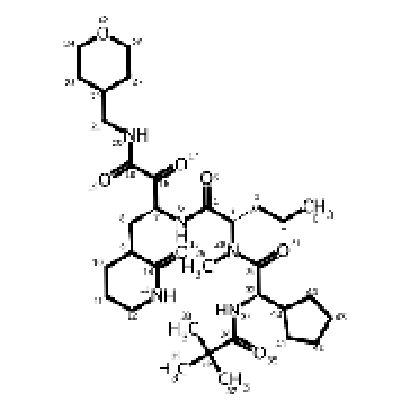 CCC[C@@H](C(=O)N[C@@H](C[C@@H]1CCCNC1=O)C(=O)C(=O)NCC1CCOCC1)N(C)C(=O)[C@H](NC(=O)C(C)(C)C)C1CCCC1